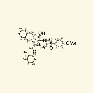 COc1ccc(S(=O)(=O)C(NC[C@@H](O)[C@H](Cc2ccccc2)NC(=O)COc2ccccc2C)C(C)C)cc1